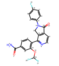 NC(=O)c1ccc(-c2nccc3c2CN(c2ccc(F)cc2)C3=O)c(OC(F)F)c1